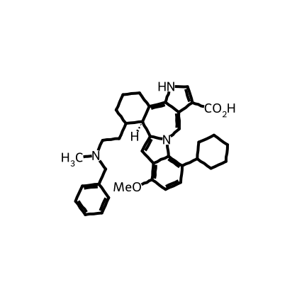 COc1ccc(C2CCCCC2)c2c1cc1n2C=c2c(C(=O)O)c[nH]c2=C2CCCC(CCN(C)Cc3ccccc3)[C@@H]21